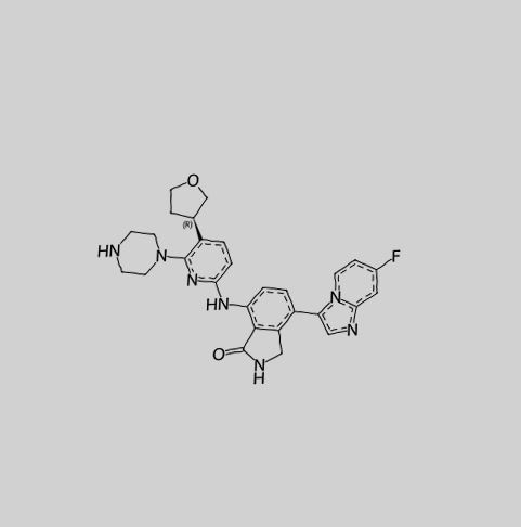 O=C1NCc2c(-c3cnc4cc(F)ccn34)ccc(Nc3ccc([C@H]4CCOC4)c(N4CCNCC4)n3)c21